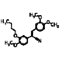 CCCCOc1cc(/C(C#N)=C/c2ccc(OC)c(OC)c2)ccc1OC